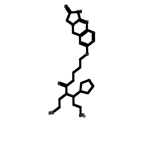 CCCC(C1CCCC1)N(CCO)C(=O)CCCCOc1ccc2c(c1)CN1CC(=O)NC1=N2